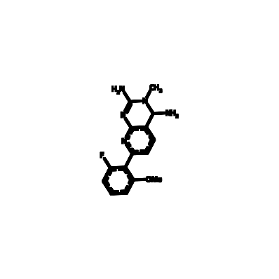 COc1cccc(F)c1-c1ccc2c(n1)N=C(N)N(C)C2N